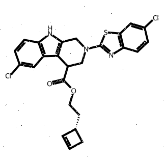 O=C(OCC[C@H]1C=CC1)C1CN(c2nc3ccc(Cl)cc3s2)Cc2[nH]c3ccc(Cl)cc3c21